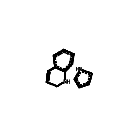 C1=Cc2ccccc2NC1.c1cc[nH]c1